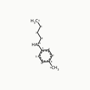 CCC[CH2][AlH][c]1ccc(C)cc1